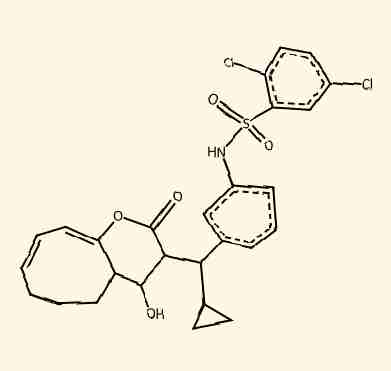 O=C1OC2=CC=CCCCC2C(O)C1C(c1cccc(NS(=O)(=O)c2cc(Cl)ccc2Cl)c1)C1CC1